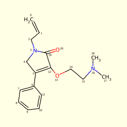 C=CCN1CC(c2ccccc2)=C(OCCN(C)C)C1=O